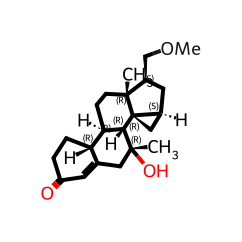 COC[C@H]1C[C@H]2C[C@]23[C@H]2[C@H](CC[C@]13C)[C@H]1CCC(=O)C=C1C[C@@]2(C)O